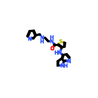 O=C(NCCNCc1cccnc1)c1sccc1Nc1ccnc2[nH]ccc12